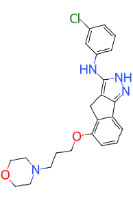 Clc1cccc(Nc2[nH]nc3c2Cc2c(OCCCN4CCOCC4)cccc2-3)c1